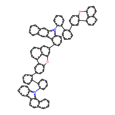 c1ccc(-c2ccccc2-n2c3cc4ccccc4cc3c3c(-c4cc5c6c(cccc6c4)-c4cc(-c6ccccc6-c6ccccc6-n6c7ccccc7c7ccc8ccccc8c76)ccc4O5)cccc32)c(-c2ccc3c(c2)-c2cccc4cccc(c24)O3)c1